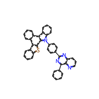 c1ccc(-c2nc(-c3ccc(-n4c5ccccc5c5c6ccccc6c6c7ccccc7sc6c54)cc3)nc3cccnc23)cc1